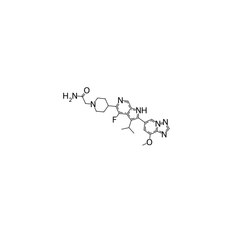 COc1cc(-c2[nH]c3cnc(C4CCN(CC(N)=O)CC4)c(F)c3c2C(C)C)cn2ncnc12